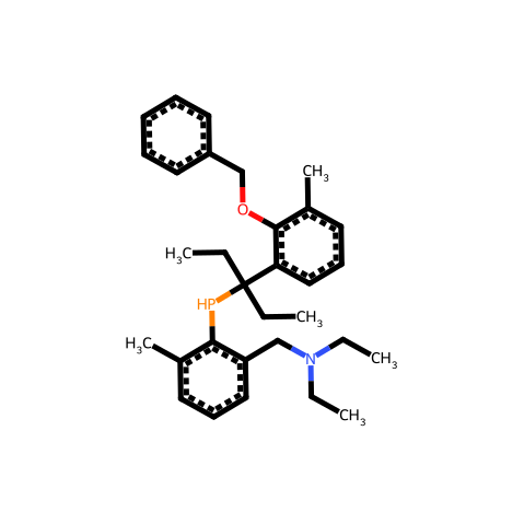 CCN(CC)Cc1cccc(C)c1PC(CC)(CC)c1cccc(C)c1OCc1ccccc1